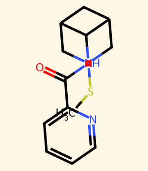 CSN1CC2CC(C1)C2NC(=O)c1ccccn1